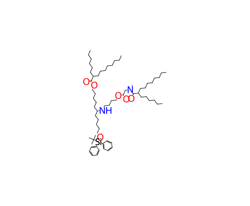 CCCCCCCCC(CCCCCC)C(=O)OCCCCCC(CCCCCO[Si](c1ccccc1)(c1ccccc1)C(C)(C)C)NCCCCOC(=O)CN(C)C(=O)C(CCCCCC)CCCCCCCC